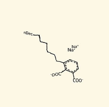 CCCCCCCCCCCCCCCCc1cccc(C(=O)[O-])c1C(=O)[O-].[Na+].[Na+]